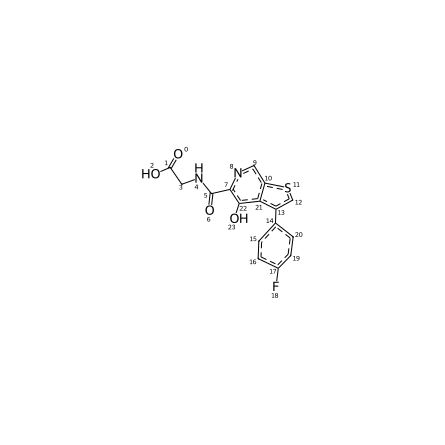 O=C(O)CNC(=O)c1ncc2scc(-c3ccc(F)cc3)c2c1O